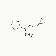 [CH2]C(CCC1CC1)C1CCCC1